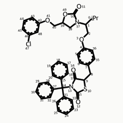 CC(C)C(COc1ccc(CC2SC(=O)N(C(c3ccccc3)(c3ccccc3)c3ccccc3)C2=O)cc1)N1CC(COc2cccc(Cl)c2)OC1=O